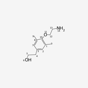 Cc1cc(CCO)cc(C)c1OCCN